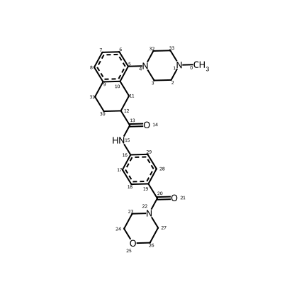 CN1CCN(c2cccc3c2CC(C(=O)Nc2ccc(C(=O)N4CCOCC4)cc2)CC3)CC1